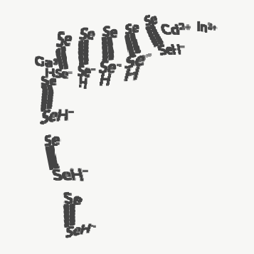 [Cd+2].[Ga+3].[In+3].[Se]=[SeH-].[Se]=[SeH-].[Se]=[SeH-].[Se]=[SeH-].[Se]=[SeH-].[Se]=[SeH-].[Se]=[SeH-].[Se]=[SeH-]